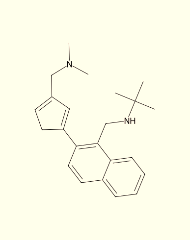 CN(C)CC1=CCC(c2ccc3ccccc3c2CNC(C)(C)C)=C1